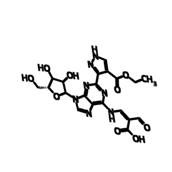 CCOC(=O)c1c[nH]nc1-c1nc(N/C=C(/C=O)C(=O)O)c2ncn(C3O[C@H](CO)C(O)C3O)c2n1